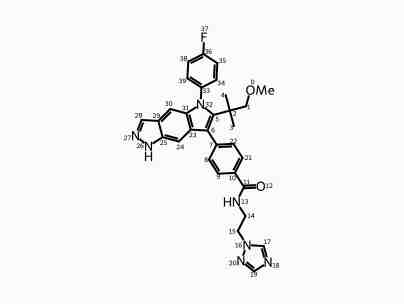 COCC(C)(C)c1c(-c2ccc(C(=O)NCCn3cncn3)cc2)c2cc3[nH]ncc3cc2n1-c1ccc(F)cc1